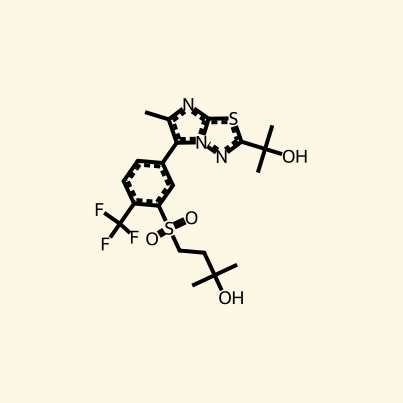 Cc1nc2sc(C(C)(C)O)nn2c1-c1ccc(C(F)(F)F)c(S(=O)(=O)CCC(C)(C)O)c1